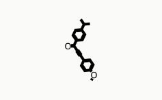 COc1ccc(C#CC(=O)c2ccc(C(C)C)cc2)cc1